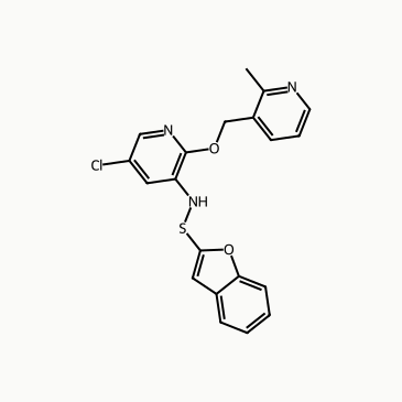 Cc1ncccc1COc1ncc(Cl)cc1NSc1cc2ccccc2o1